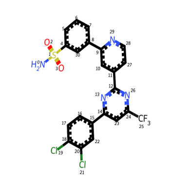 NS(=O)(=O)c1cccc(-c2cc(-c3nc(-c4ccc(Cl)c(Cl)c4)cc(C(F)(F)F)n3)ccn2)c1